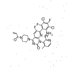 C=CC(=O)N1CCN(c2nc(=O)n(-c3c(C)ccnc3C(C)C)c3nc(-c4c(N)c(Cl)c(F)c(Cl)c4F)c(F)cc23)CC1